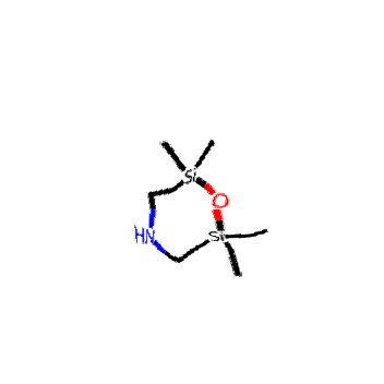 C[Si]1(C)CNC[Si](C)(C)O1